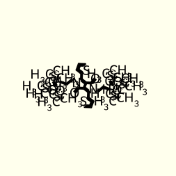 C[Si](C)(C)O[Si](CCCN1C(=O)C2=C(c3cccs3)N(CCC[Si](O[Si](C)(C)C)(O[Si](C)(C)C)O[Si](C)(C)C)C(=O)C2=C1c1cccs1)(O[Si](C)(C)C)O[Si](C)(C)C